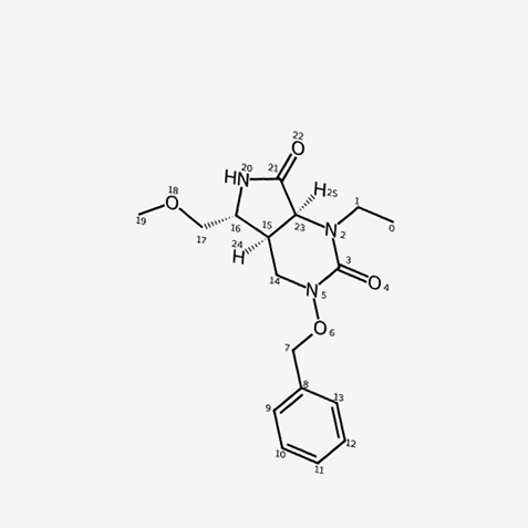 CCN1C(=O)N(OCc2ccccc2)C[C@H]2[C@H](COC)NC(=O)[C@H]21